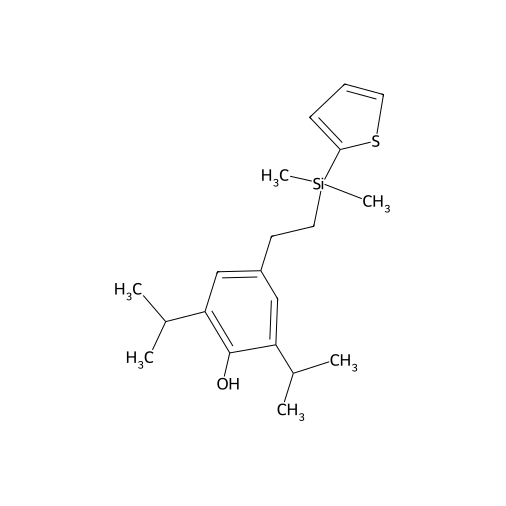 CC(C)c1cc(CC[Si](C)(C)c2cccs2)cc(C(C)C)c1O